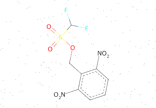 O=[N+]([O-])c1cccc([N+](=O)[O-])c1COS(=O)(=O)C(F)F